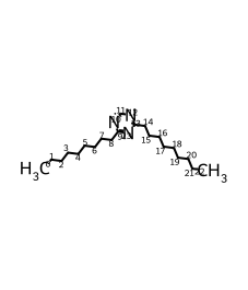 CCCCCCCCCc1n[c]nc(CCCCCCCCC)n1